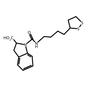 O=C(O)C1Cc2ccccc2N1C(=O)NCCCCC1CCSS1